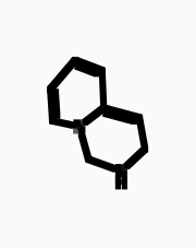 C1=CC2=CCNCN2C=C1